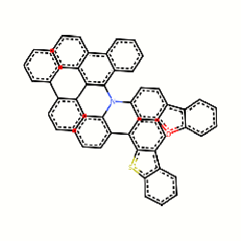 c1ccc(-c2ccccc2-c2c(N(c3ccc4c(c3)oc3ccccc34)c3ccccc3-c3cccc4c3sc3ccccc34)c3ccccc3c3ccccc23)cc1